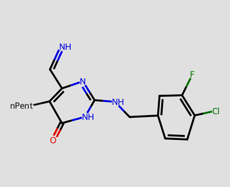 CCCCCc1c(C=N)nc(NCc2ccc(Cl)c(F)c2)[nH]c1=O